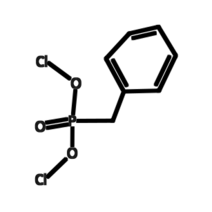 O=P(Cc1ccccc1)(OCl)OCl